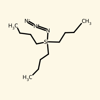 CCCC[Si](CCCC)(CCCC)N=[N+]=[N-]